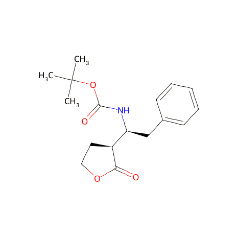 CC(C)(C)OC(=O)N[C@@H](Cc1ccccc1)[C@@H]1CCOC1=O